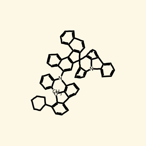 Cc1ccccc1N(c1cc2c(c3ccccc13)-c1c(ccc3ccccc13)C21c2ccccc2-n2c3ccccc3c3cccc1c32)c1cccc2c1oc1c(C3CCCCC3)cccc12